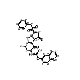 CCCC(NC(=O)Oc1ccc2ncccc2c1)C(=O)N1CCC2C1C(=O)CN2S(=O)(=O)Cc1ccccn1